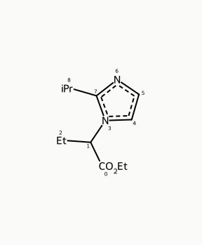 CCOC(=O)C(CC)n1ccnc1C(C)C